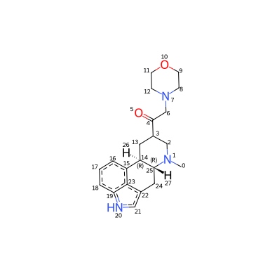 CN1CC(C(=O)CN2CCOCC2)C[C@@H]2c3cccc4[nH]cc(c34)C[C@H]21